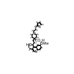 COc1ccc2ncc(CF)c([C@@H](O)CCC3(C(=O)O)CCN(CCSc4cccs4)CC3)c2c1